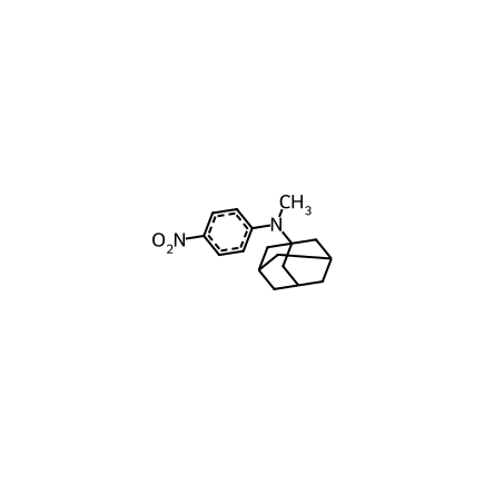 CN(c1ccc([N+](=O)[O-])cc1)C12CC3CC(CC(C3)C1)C2